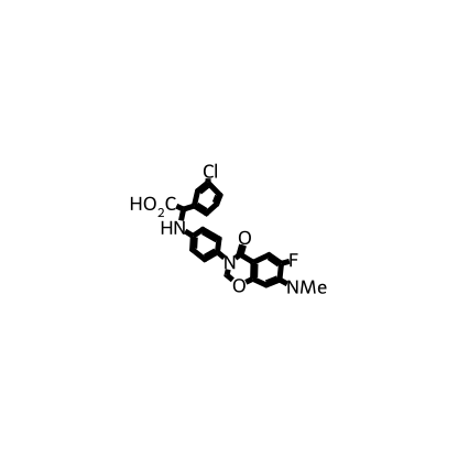 CNc1cc2c(cc1F)C(=O)N(c1ccc(NC(C(=O)O)c3cccc(Cl)c3)cc1)CO2